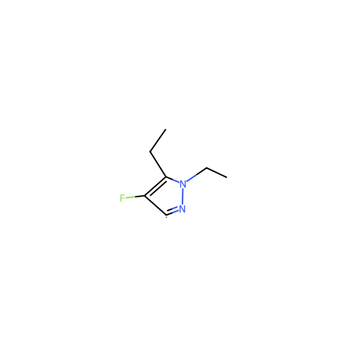 CCc1c(F)[c]nn1CC